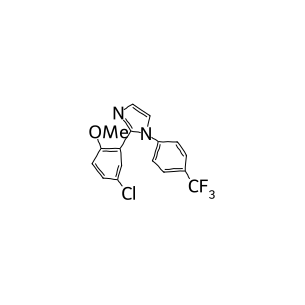 COc1ccc(Cl)cc1-c1nccn1-c1ccc(C(F)(F)F)cc1